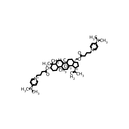 C=C(C)[C@@H]1CC[C@]2(COC(=O)CCC[n+]3ccc(N(C)C)cc3)CC[C@]3(C)C(CCC4[C@@]5(C)CC[C@H](OC(=O)CCC[n+]6ccc(N(C)C)cc6)C(C)(C)C5CC[C@]43C)C12